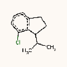 CC(C)C1CCc2cccc(Cl)c21